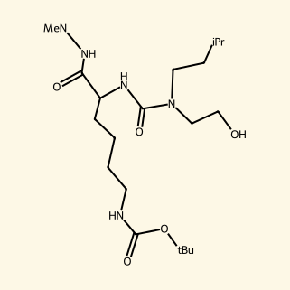 CNNC(=O)C(CCCCNC(=O)OC(C)(C)C)NC(=O)N(CCO)CCC(C)C